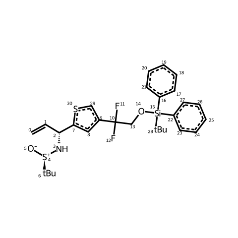 C=C[C@@H](N[S@+]([O-])C(C)(C)C)c1cc(C(F)(F)CO[Si](c2ccccc2)(c2ccccc2)C(C)(C)C)cs1